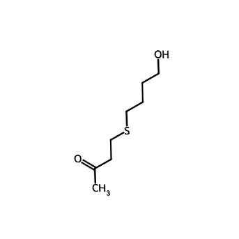 CC(=O)CCSCCCCO